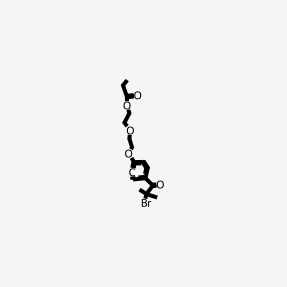 CCC(=O)OCCOCCOc1ccc(C(=O)C(C)(C)Br)cc1